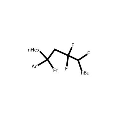 CCCCCCC(CC)(CC(F)(F)C(F)CCCC)C(C)=O